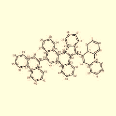 C1=CCC2C(=C1)c1ccccc1C=C2n1c2ccccc2c2c3c4ccccc4c(-c4cc5ccccc5c5ccccc45)cc3c3ccccc3c21